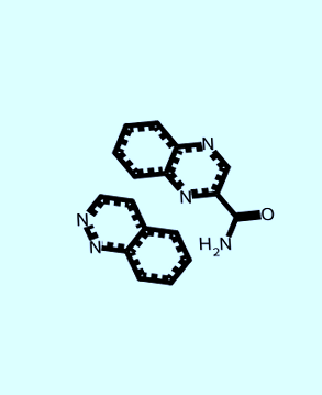 NC(=O)c1cnc2ccccc2n1.c1ccc2nnccc2c1